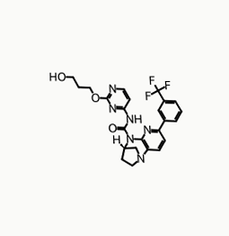 O=C(Nc1ccnc(OCCCO)n1)N1c2nc(-c3cccc(C(F)(F)F)c3)ccc2N2CC[C@H]1C2